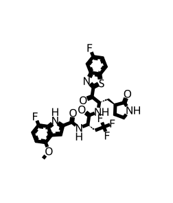 COc1ccc(F)c2[nH]c(C(=O)N[C@@H](CC(F)(F)F)C(=O)N[C@@H](C[C@@H]3CCNC3=O)C(=O)c3nc4cc(F)ccc4s3)cc12